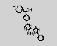 Nc1ncc(-c2ccc(C(O)N3CCCNCC3)cc2)nc1-c1nnc(-c2ccccc2)s1